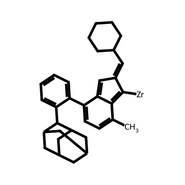 Cc1ccc(-c2ccccc2C2C3CC4CC(C3)CC2C4)c2c1=[C]([Zr])C(=CC1CCCCC1)C=2